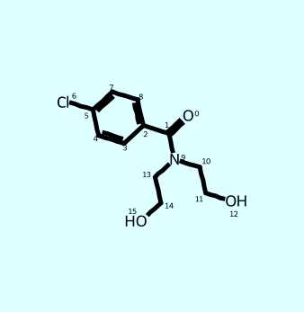 O=C(c1ccc(Cl)cc1)N(CCO)CCO